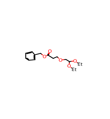 CCOC(COCCC(=O)OCc1ccccc1)OCC